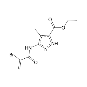 C=C(Br)C(=O)Nc1n[nH]c(C(=O)OCC)c1C